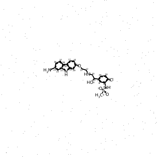 CS(=O)(=O)Nc1cc(C(O)CNCCOc2ccc3c(c2)[nH]c2cc(N)ccc23)ccc1Cl